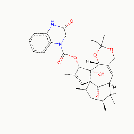 CC1=C[C@]23C(=O)[C@@H](C=C4COC(C)(C)O[C@H]4[C@]2(O)[C@H]1OC(=O)N1CC(=O)Nc2ccccc21)C(C)(C)[C@@H](C)C[C@H]3C